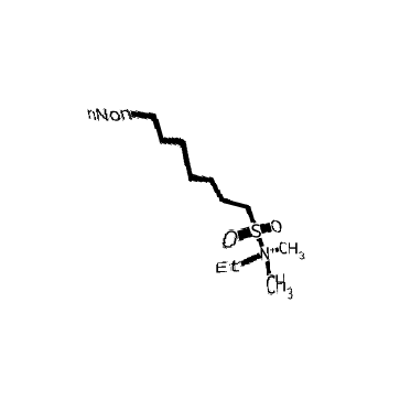 CCCCCCCCCCCCCCCCS(=O)(=O)[N+](C)(C)CC